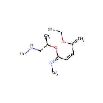 C=C(/C=C\C(=N/C)O[C@H](C)CNC(C)(C)C)OCC(C)(C)C